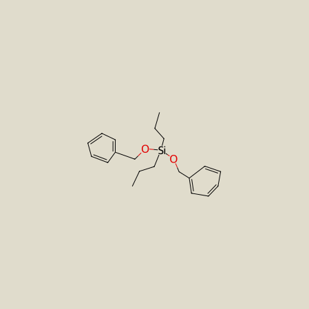 CCC[Si](CCC)(OCc1ccccc1)OCc1ccccc1